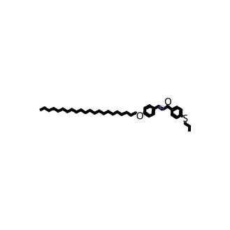 CCCCCCCCCCCCCCCCCCCCCCOc1ccc(/C=C/C(=O)c2ccc(SCCC)cc2)cc1